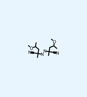 COC(C)CC(C)(C#N)N=NC(C)(C#N)CC(C)OC